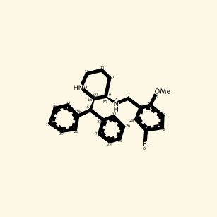 CCc1ccc(OC)c(CN[C@@H]2CCCN[C@@H]2C(c2ccccc2)c2ccccc2)c1